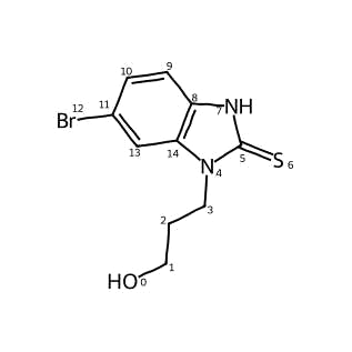 OCCCn1c(=S)[nH]c2ccc(Br)cc21